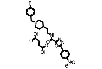 O=C(NCCC1CCN(Cc2ccc(F)cc2)CC1)c1nnc(-c2ccc([N+](=O)[O-])cc2)o1.O=C(O)/C=C/C(=O)O